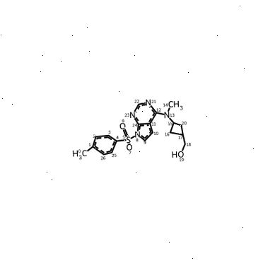 Cc1ccc(S(=O)(=O)n2ccc3c(N(C)C4CC(CO)C4)ncnc32)cc1